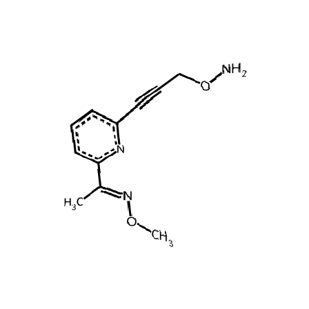 CON=C(C)c1cccc(C#CCON)n1